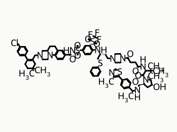 Cc1ncsc1-c1ccc([C@H](C)NC(=O)[C@@H]2C[C@@H](O)CN2C(=O)[C@@H](NC(=O)CCC(=O)N2CCN(CC[C@H](CSc3ccccc3)Nc3ccc(S(=O)(=O)NC(=O)c4ccc5c(c4)CCC4CN(CC6=C(c7ccc(Cl)cc7)CCC(C)(C)C6)CCN54)cc3S(=O)(=O)C(F)(F)F)CC2)C(C)(C)C)cc1